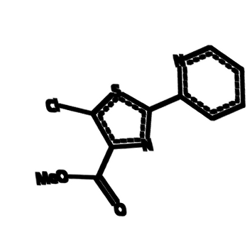 COC(=O)c1nc(-c2ccccn2)sc1Cl